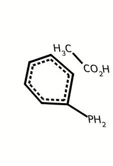 CC(=O)O.Pc1ccccc1